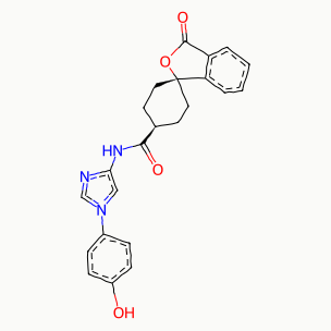 O=C1O[C@]2(CC[C@H](C(=O)Nc3cn(-c4ccc(O)cc4)cn3)CC2)c2ccccc21